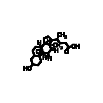 [2H]C1C([2H])[C@]2(C)[C@@H]([C@H](C)CCC(=O)O)CC[C@H]2[C@@H]2CCC3C[C@H](O)CC[C@]3(C)[C@@H]12